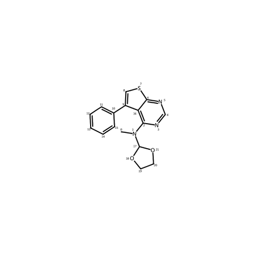 CN(c1ncnc2scc(-c3ccccc3)c12)C1OCCO1